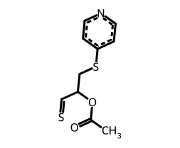 CC(=O)OC(C=S)CSc1ccncc1